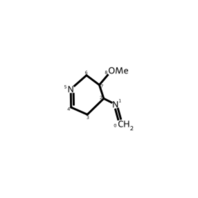 C=NC1CC=NCC1OC